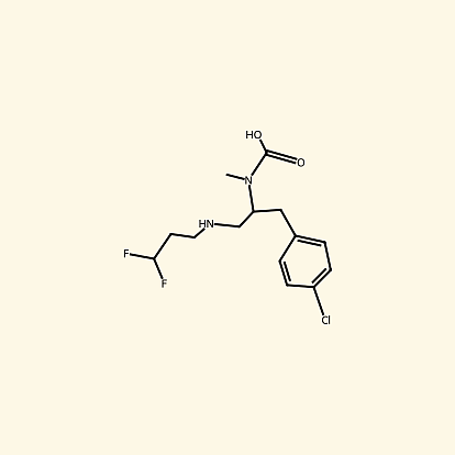 CN(C(=O)O)C(CNCCC(F)F)Cc1ccc(Cl)cc1